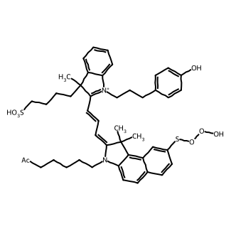 CC(=O)CCCCCN1/C(=C/C=C/C2=[N+](CCCc3ccc(O)cc3)c3ccccc3C2(C)CCCCS(=O)(=O)O)C(C)(C)c2c1ccc1ccc(SOOO)cc21